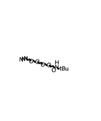 CC(C)(C)CNC(=O)CCOCCOCCOCCOCCN=[N+]=[N-]